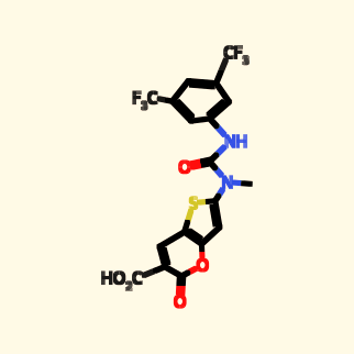 CN(C(=O)Nc1cc(C(F)(F)F)cc(C(F)(F)F)c1)c1cc2oc(=O)c(C(=O)O)cc2s1